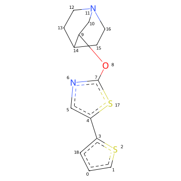 c1csc(-c2cnc(OC3CN4CCC3CC4)s2)c1